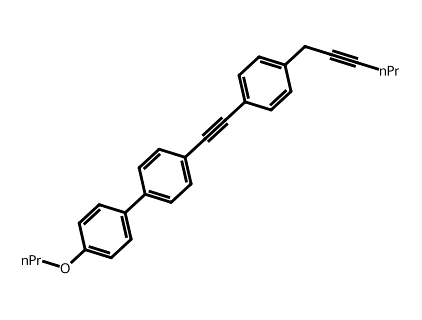 CCCC#CCc1ccc(C#Cc2ccc(-c3ccc(OCCC)cc3)cc2)cc1